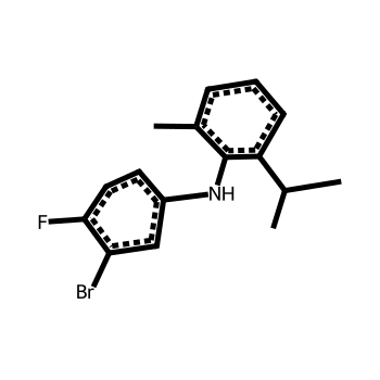 Cc1cccc(C(C)C)c1Nc1ccc(F)c(Br)c1